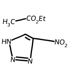 CCOC(C)=O.O=[N+]([O-])c1c[nH]nn1